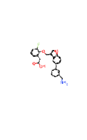 NCc1cccc(-c2ccc3occ(COc4c(F)cccc4CC(=O)O)c3c2)c1